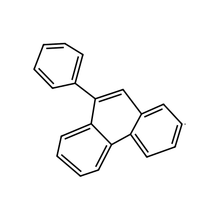 [c]1ccc2c(c1)cc(-c1ccccc1)c1ccccc12